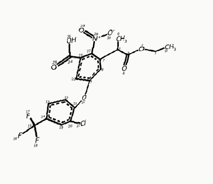 CCOC(=O)C(C)c1cc(Oc2ccc(C(F)(F)F)cc2Cl)cc(C(=O)O)c1[N+](=O)[O-]